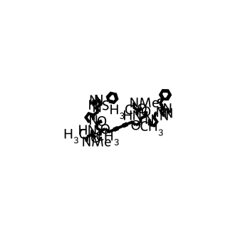 CNC(C)C(=O)NC(C(=O)N1CCCC1Cn1nnnc1Sc1ccccc1)C(C)OCC#CC#CCOC(C)C(NC(=O)C(C)NC)C(=O)N1CCCC1Cn1nnnc1Sc1ccccc1